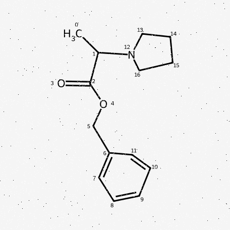 CC(C(=O)OCc1ccccc1)N1CCCC1